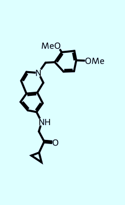 COc1ccc(CN2C=Cc3ccc(NCC(=O)C4CC4)cc3C2)c(OC)c1